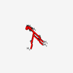 CCCCCCC#CCOC(=O)CCCCCCCCN(CCCCCCCCC(=O)OCC#CCCCCCC)CCCN(CCCCCCCCC(=O)COC#CCCCCCC)CCCCCC(=O)OC(C)(C)Cn1c(COCC)nc2c(N)nc3ccccc3c21